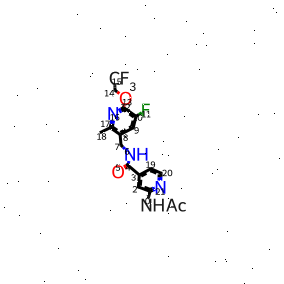 CC(=O)Nc1cc(C(=O)NCc2cc(F)c(OCC(F)(F)F)nc2C)ccn1